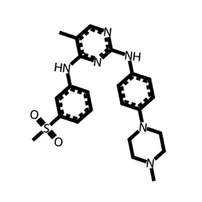 Cc1cnc(Nc2ccc(N3CCN(C)CC3)cc2)nc1Nc1cccc(S(C)(=O)=O)c1